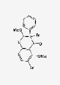 COc1c(Br)ccc2c1C(=O)C(Br)(c1ccccc1)C(OC)O2